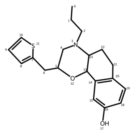 CCCN1CC(Cc2cccs2)OC2c3cc(O)ccc3CCC21